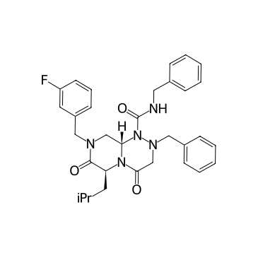 CC(C)C[C@H]1C(=O)N(Cc2cccc(F)c2)C[C@H]2N1C(=O)CN(Cc1ccccc1)N2C(=O)NCc1ccccc1